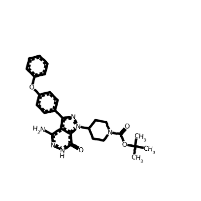 CC(C)(C)OC(=O)N1CCC(n2nc(-c3ccc(Oc4ccccc4)cc3)c3c(N)n[nH]c(=O)c32)CC1